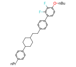 CCCCOc1ccc(-c2ccc(CCC3CCC(c4ccc(CCC)cc4)CC3)cc2)c(F)c1F